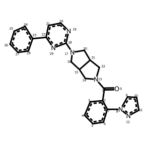 O=C(c1ccccc1-n1cccn1)N1CC2CN(c3nccc(-c4ccccc4)n3)CC2C1